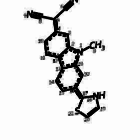 Cn1c2cc(=C(C#N)C#N)ccc2c2cc/c(=C3/NC=CS3)cc21